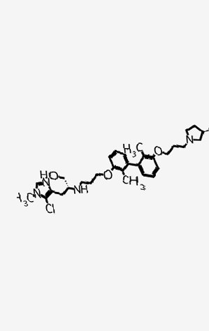 Cc1c(OCCCN[C@@H](CO)Cc2ncn(C)c2Cl)cccc1-c1cccc(OCCCN2CC[C@@H](O)C2)c1C